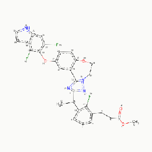 COC(=O)CCc1cccc(C(C)c2nc3n(n2)CCOc2ccc(Oc4c(F)cc5[nH]ccc5c4F)cc2-3)c1F